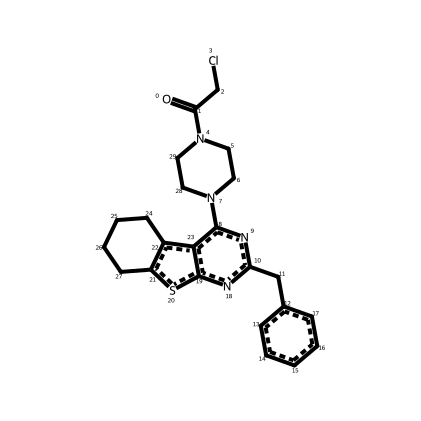 O=C(CCl)N1CCN(c2nc(Cc3ccccc3)nc3sc4c(c23)CCCC4)CC1